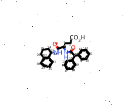 O=C(O)CC[C@@H](NC(=O)C(c1ccccc1)c1ccccc1)C(=O)N[C@@H]1CCCc2ccccc21